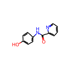 O=C(Nc1ccc(O)cc1)c1ccccn1